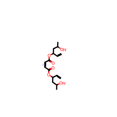 C=CC(CC(C)O)OC(=O)/C=C\C(=O)OC(C=C)CC(C)O